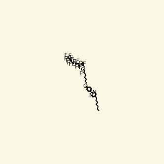 CCCCCCCc1cnc(-c2ccc(OCCCCC[C@@H](F)COCC(F)(F)OC(F)(F)C(F)(F)OC(F)(F)C(F)(F)C(F)(F)C(F)(F)F)cc2)nc1